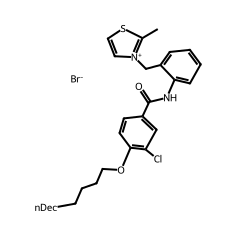 CCCCCCCCCCCCCCOc1ccc(C(=O)Nc2ccccc2C[n+]2ccsc2C)cc1Cl.[Br-]